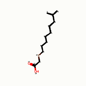 CC(C)CCCCCCCSCC(=O)O